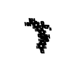 N=C(N)c1ccc(OC(=O)C(F)(F)F)c(CN2CC[C@H](NS(=O)(=O)c3cc4ccc(Cl)cc4s3)C2=O)c1